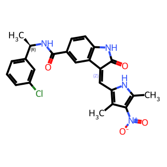 Cc1[nH]c(/C=C2\C(=O)Nc3ccc(C(=O)N[C@H](C)c4cccc(Cl)c4)cc32)c(C)c1[N+](=O)[O-]